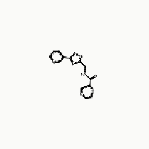 O=C(NCc1nc(-c2cccnc2)n[nH]1)c1cnccn1